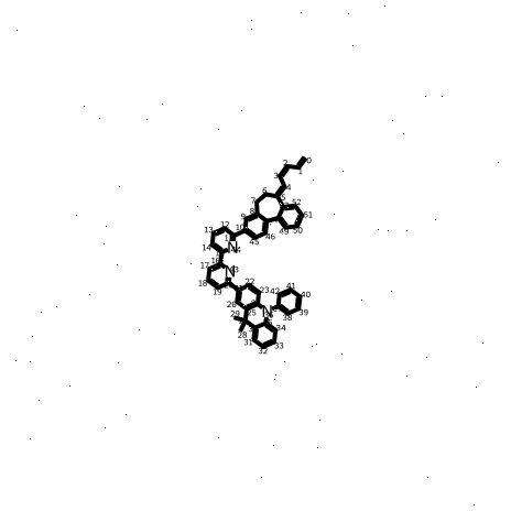 C=C/C=C\C=C1/CCc2cc(-c3cccc(-c4cccc(-c5ccc6c(c5)C(C)(C)c5ccccc5N6c5ccccc5)n4)n3)ccc2-c2ccccc21